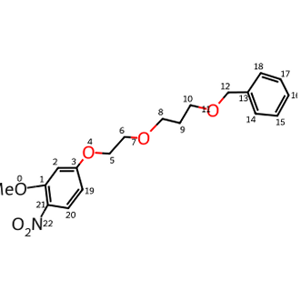 COc1cc(OCCOCCCOCc2ccccc2)ccc1[N+](=O)[O-]